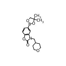 CC1(C)COB(c2ccc3oc(=O)n(CC4CCOCC4)c3c2)O1